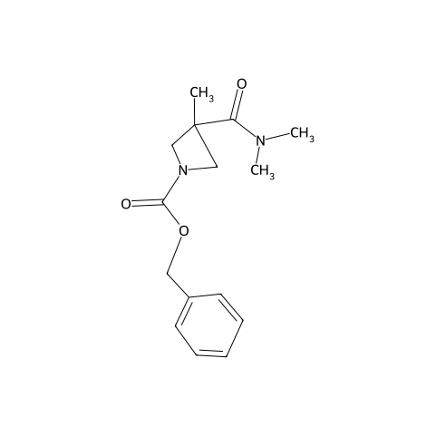 CN(C)C(=O)C1(C)CN(C(=O)OCc2ccccc2)C1